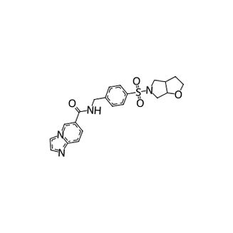 O=C(NCc1ccc(S(=O)(=O)N2CC3CCOC3C2)cc1)c1ccc2nccn2c1